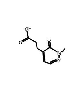 Cn1nccc(CCC(=O)O)c1=O